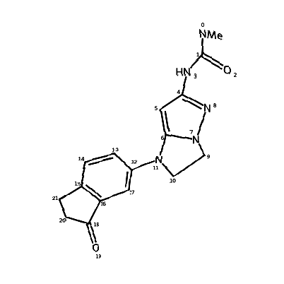 CNC(=O)Nc1cc2n(n1)CCN2c1ccc2c(c1)C(=O)CC2